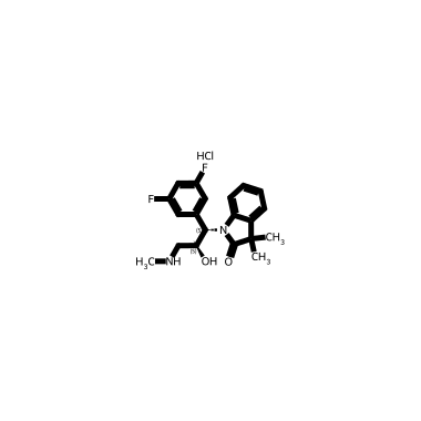 CNC[C@H](O)[C@H](c1cc(F)cc(F)c1)N1C(=O)C(C)(C)c2ccccc21.Cl